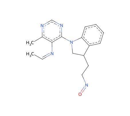 C/C=N\c1c(C)ncnc1N1CC(CCN=O)c2ccccc21